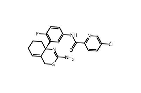 NC1=N[C@@]2(c3cc(NC(=O)c4ccc(Cl)cn4)ccc3F)CCCC=C2CS1